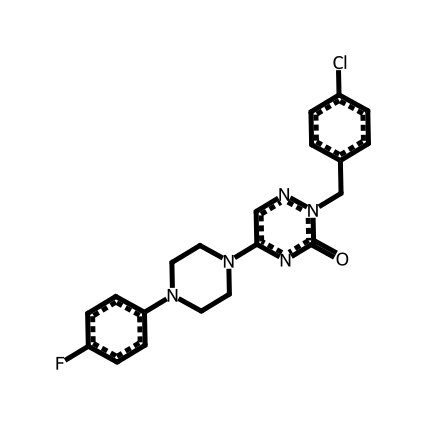 O=c1nc(N2CCN(c3ccc(F)cc3)CC2)cnn1Cc1ccc(Cl)cc1